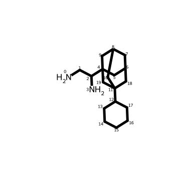 NCC(N)C12CC3CC(C1)CC(C1CCCCC1)(C3)C2